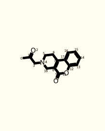 CC(=O)CN1CCc2c(c(=O)oc3ccccc23)C1